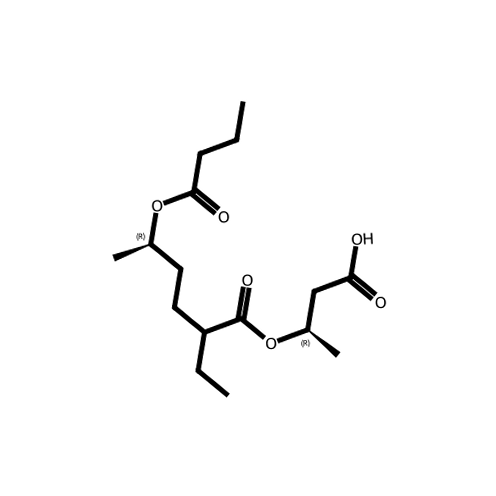 CCCC(=O)O[C@H](C)CCC(CC)C(=O)O[C@H](C)CC(=O)O